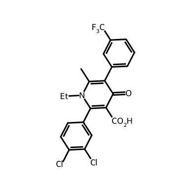 CCn1c(C)c(-c2cccc(C(F)(F)F)c2)c(=O)c(C(=O)O)c1-c1ccc(Cl)c(Cl)c1